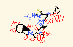 Nc1nc(/C(=N/OC2(C(=O)O)CC3CCC(C2)O3)C(=O)N[C@H]2CON(C3(C(=O)O)CC(N4C(=O)c5cc(O)c(O)cc5C4=O)C(=O)O3)C2=O)cs1